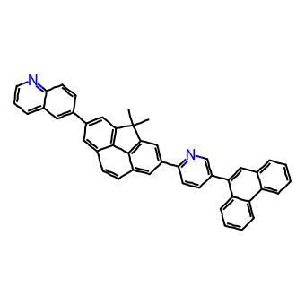 CC1(C)c2cc(-c3ccc4ncccc4c3)cc3ccc4cc(-c5ccc(-c6cc7ccccc7c7ccccc67)cn5)cc1c4c23